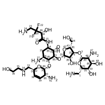 NC[C@@H]1O[C@H](O[C@H]2[C@@H](O)[C@H](O[C@@H]3[C@@H](O)[C@H](NC(=O)[C@@H](O)C(F)(F)CN)C[C@H](N)[C@H]3O[C@H]3O[C@H](CNCCO)C=C[C@H]3N)O[C@@H]2CO)[C@H](N)[C@@H](O)[C@@H]1O